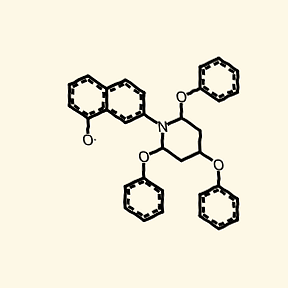 [O]c1cccc2ccc(N3C(Oc4ccccc4)CC(Oc4ccccc4)CC3Oc3ccccc3)cc12